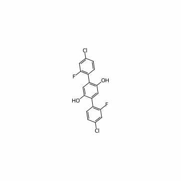 Oc1cc(-c2ccc(Cl)cc2F)c(O)cc1-c1ccc(Cl)cc1F